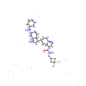 O=C(NCC1CC(F)(F)C1)c1cnn2ccc(-c3c[nH]c4nc(Nc5ccncc5)ncc34)cc12